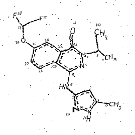 Cc1cc(Nc2nn(C(C)C)c(=O)c3cc(OC(F)F)ccc23)n[nH]1